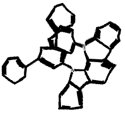 C1=CCCC(c2cc(C3=CCCC=C3)cc(-n3c4ccccc4c4ccc5c6ccccc6n(-c6ccccc6)c5c43)c2)=C1